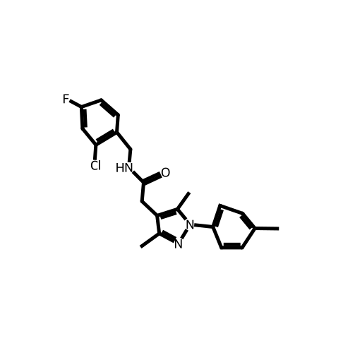 Cc1ccc(-n2nc(C)c(CC(=O)NCc3ccc(F)cc3Cl)c2C)cc1